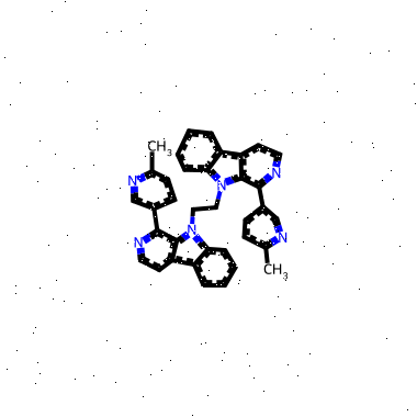 Cc1ccc(-c2nccc3c4ccccc4n(CCn4c5ccccc5c5ccnc(-c6ccc(C)nc6)c54)c23)cn1